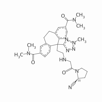 CN(C)C(=O)c1ccc2c(c1)CCc1cc(C(=O)N(C)C)ccc1C2(CCNCC(=O)N1CCC[C@H]1C#N)c1nnn(C)n1